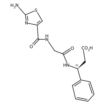 Nc1nc(C(=O)NCC(=O)N[C@@H](CC(=O)O)c2ccccc2)cs1